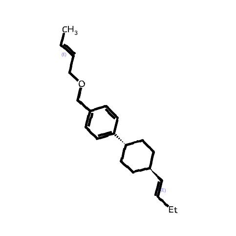 C/C=C/COCc1ccc([C@H]2CC[C@H](/C=C/CC)CC2)cc1